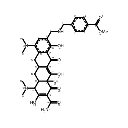 COC(=O)c1ccc(CNCc2cc(N(C)C)c3c(c2O)C(=O)C2=C(O)C4(O)C(=O)C(C(N)=O)=C(O)C(N(C)C)C4CC2C3)cc1